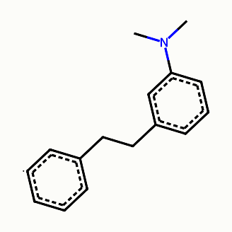 CN(C)c1cccc(CCc2c[c]ccc2)c1